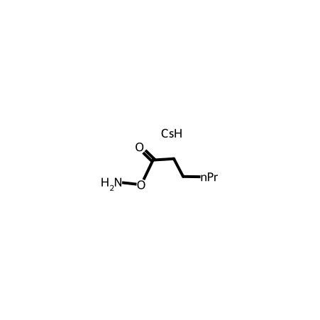 CCCCCC(=O)ON.[CsH]